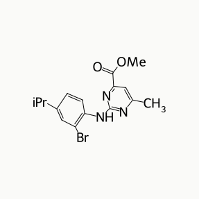 COC(=O)c1cc(C)nc(Nc2ccc(C(C)C)cc2Br)n1